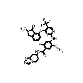 COc1cc(C(=O)NC2CCn3cnnc3C2)c(F)cc1Nc1ncc(C(F)(F)F)c(Oc2cccc3c2C(=O)N(C)C3)n1